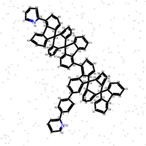 c1ccc(-c2ccc(-c3ccc4c(c3)C3(c5ccccc5C5(c6ccccc6-c6ccccc65)c5ccccc53)c3cccc(-c5cccc6c5-c5ccccc5C65c6ccccc6C6(c7ccccc7-c7c(-c8ccccn8)cccc76)c6ccccc65)c3-4)cc2)nc1